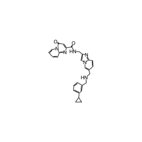 O=C(NCc1cn2cc(CNCc3cccc(C4CC4)c3)ccc2n1)c1cc(=O)n2ccccc2n1